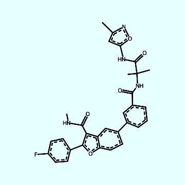 CNC(=O)c1c(-c2ccc(F)cc2)oc2ccc(-c3cccc(C(=O)NC(C)(C)C(=O)Nc4cc(C)no4)c3)cc12